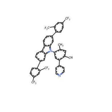 Cc1cc(C#N)c(-c2ccncc2)cc1-n1c2cc(-c3ccc(C(F)(F)F)cc3C(F)(F)F)ccc2c2ccc(-c3ccc(C(F)(F)F)cc3C(F)(F)F)cc21